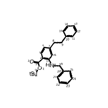 CC(C)(C)OC(=O)c1ccc(CCc2ccccc2)cc1NCc1ccccc1